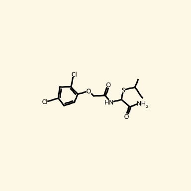 CC(C)SC(NC(=O)COc1ccc(Cl)cc1Cl)C(N)=O